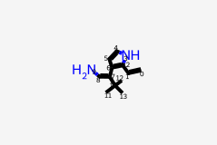 C=Cc1[nH]ccc1/C(=C\N)C(C)(C)C